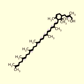 CC(C)=CCC/C(C)=C/CC/C(C)=C/CC/C(C)=C/C=C/C=C(C)/C=C/C=C(C)/C=C/C1C(C)=CCC(C/C=C(\C)CO)C1(C)C